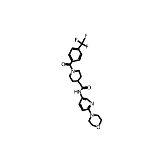 O=C(Nc1ccc(N2CCOCC2)nc1)C1CCN(C(=O)c2ccc(C(F)(F)F)cc2)CC1